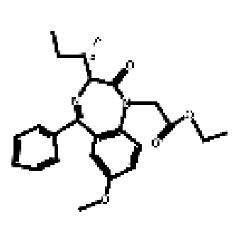 CCOC(=O)CN1C(=O)C([C@@H](C)CC)N=C(c2ccccc2)c2cc(OC)ccc21